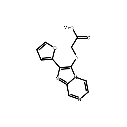 COC(=O)CNc1c(-c2ccco2)nc2cnccn12